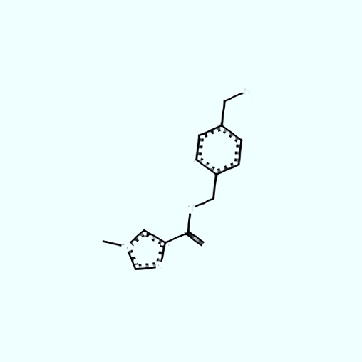 Cn1cnc(C(=O)NCc2ccc(CN)cc2)c1